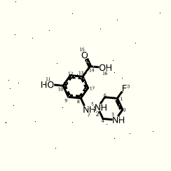 FC1=CNCNC1.Nc1cc(O)cc(C(=O)O)c1